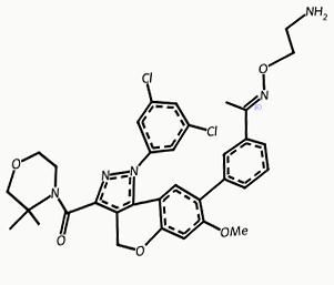 COc1cc2c(cc1-c1cccc(/C(C)=N/OCCN)c1)-c1c(c(C(=O)N3CCOCC3(C)C)nn1-c1cc(Cl)cc(Cl)c1)CO2